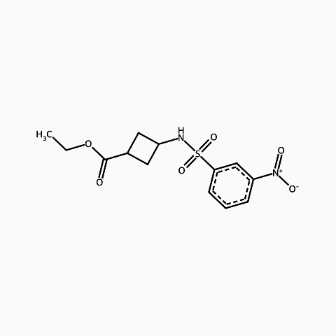 CCOC(=O)C1CC(NS(=O)(=O)c2cccc([N+](=O)[O-])c2)C1